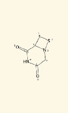 O=C1CN2SSC2C(=O)N1